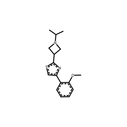 COc1ccccc1-c1csc(C2CN(C(C)C)C2)n1